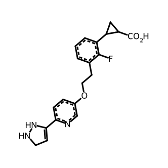 O=C(O)C1CC1c1cccc(CCOc2ccc(C3=CCNN3)nc2)c1F